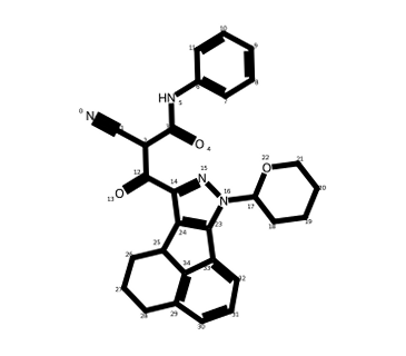 N#CC(C(=O)Nc1ccccc1)C(=O)c1nn(C2CCCCO2)c2c1C1CCCc3cccc-2c31